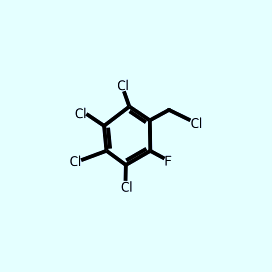 Fc1c(Cl)c(Cl)c(Cl)c(Cl)c1CCl